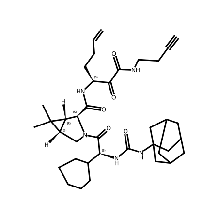 C#CCCNC(=O)C(=O)[C@H](CCC=C)NC(=O)[C@@H]1[C@@H]2[C@H](CN1C(=O)[C@@H](NC(=O)NC13CC4CC(CC(C4)C1)C3)C1CCCCC1)C2(C)C